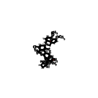 COc1ccc(CN(Cc2ccc(OC)cc2)c2cc(Cl)c(C(F)(F)F)c(-c3c(F)cc4c(N5C[C@H]6CC[C@@H](C5)N6C(=O)OC(C)(C)C)nc(F)nc4c3F)c2F)cc1